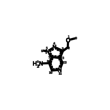 COCc1nn(C)c2c(N)cncc12